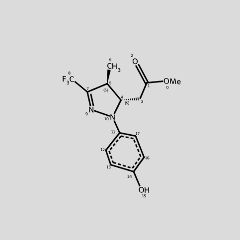 COC(=O)C[C@H]1[C@H](C)C(C(F)(F)F)=NN1c1ccc(O)cc1